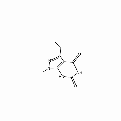 CCc1nn(C)c2[nH]c(=O)[nH]c(=O)c12